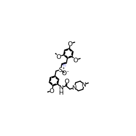 COc1cc(OC)c(/C=C/[S+]([O-])Cc2ccc(OC)c(NC(=O)CN3CCN(C)CC3)c2)c(OC)c1